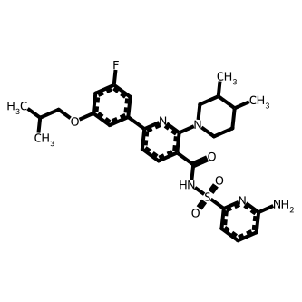 CC(C)COc1cc(F)cc(-c2ccc(C(=O)NS(=O)(=O)c3cccc(N)n3)c(N3CCC(C)C(C)C3)n2)c1